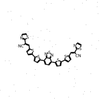 N#C/C(=C\c1ccc(-c2ccc(-c3ccc(-c4ccc(-c5ccc(/C=C(\C#N)c6nccs6)s5)s4)c4nsnc34)s2)s1)c1nccs1